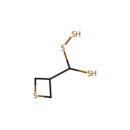 SSC(S)C1CSC1